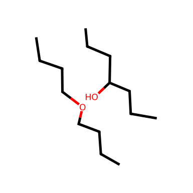 CCCC(O)CCC.CCCCOCCCC